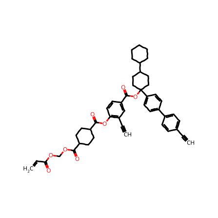 C#Cc1ccc(-c2ccc(C3(OC(=O)c4ccc(OC(=O)C5CCC(C(=O)OCOC(=O)C=C)CC5)c(C#C)c4)CCC(C4CCCCC4)CC3)cc2)cc1